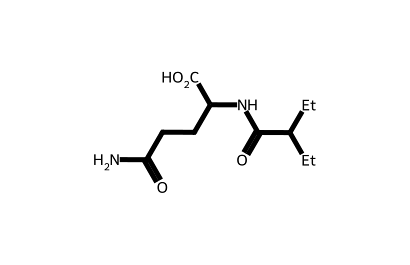 CCC(CC)C(=O)NC(CCC(N)=O)C(=O)O